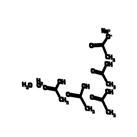 CC(=O)O.CC(=O)O.CC(=O)O.CC(=O)O.CC(=O)[O-].O.O.[Na+]